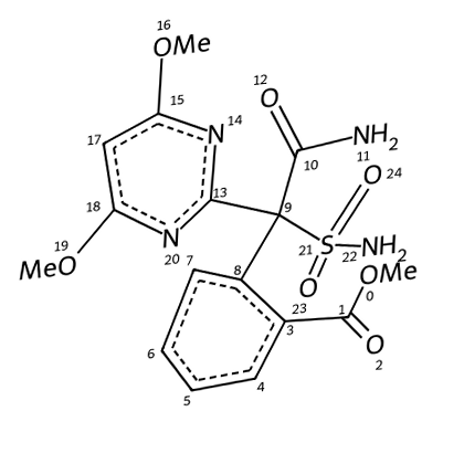 COC(=O)c1ccccc1C(C(N)=O)(c1nc(OC)cc(OC)n1)S(N)(=O)=O